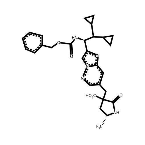 O=C(N[C@H](c1cn2ncc(CC3(C(=O)O)C[C@@H](C(F)(F)F)NC3=O)cc2n1)C(C1CC1)C1CC1)OCc1ccccc1